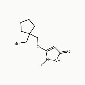 Cn1[nH]c(=O)cc1OCC1(CBr)CCCC1